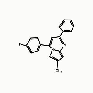 Cc1cc2nc(-c3ccccc3)cc(-c3ccc(F)cc3)n2n1